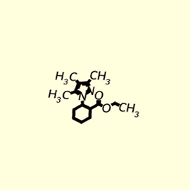 CCOC(=O)C1CCCCC1n1nc(C)c(C)c1C